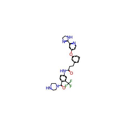 O=C(CCc1cccc(Oc2ccnc(C3=NCCN3)c2)c1)Nc1ccc(C(=O)N2CCNCC2)c(C(F)(F)F)c1